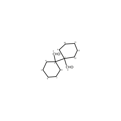 O=[C]C1(C2([C]=O)CCCCC2)CCCCC1